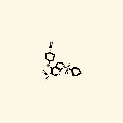 N#C[C@H]1CC[C@H](Nc2c([N+](=O)[O-])cnc3c2ccn3S(=O)(=O)c2ccccc2)CC1